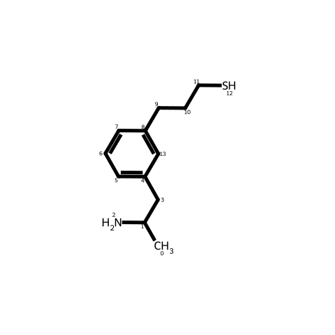 CC(N)Cc1cccc(CCCS)c1